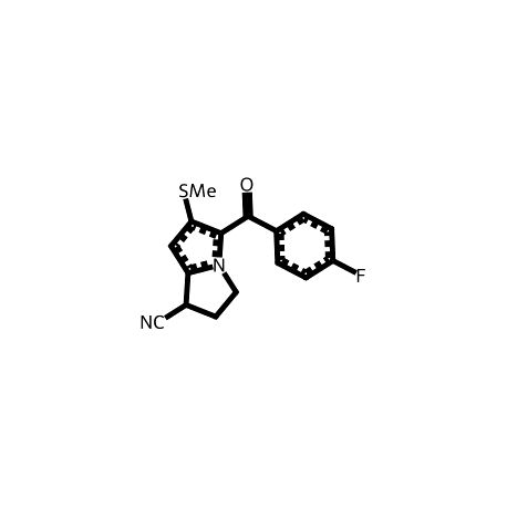 CSc1cc2n(c1C(=O)c1ccc(F)cc1)CCC2C#N